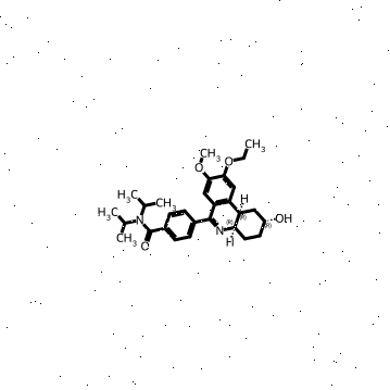 CCOc1cc2c(cc1OC)C(c1ccc(C(=O)N(C(C)C)C(C)C)cc1)=N[C@@H]1CC[C@@H](O)C[C@H]21